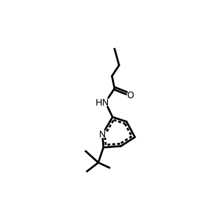 CCCC(=O)Nc1cccc(C(C)(C)C)n1